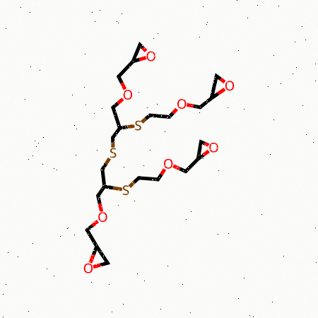 C(CSC(COCC1CO1)CSCC(COCC1CO1)SCCOCC1CO1)OCC1CO1